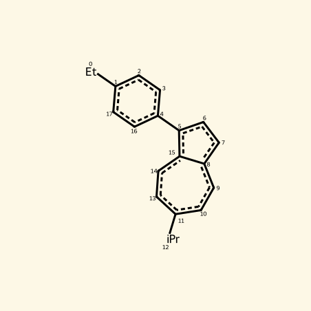 CCc1ccc(-c2ccc3ccc(C(C)C)ccc2-3)cc1